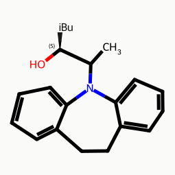 CCC(C)[C@H](O)C(C)N1c2ccccc2CCc2ccccc21